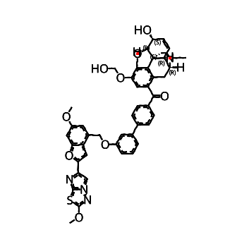 COc1cc(COc2cccc(-c3ccc(C(=O)c4cc(OCO)c5c6c4C[C@@H]4[C@@H]7C=C[C@H](O)[C@H](O5)[C@]67CCN4C)cc3)c2)c2cc(-c3cn4nc(OC)sc4n3)oc2c1